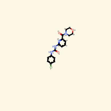 O=C(Nc1ccc(Cl)cc1)Nc1cccc(C(=O)N2CCOCC2)n1